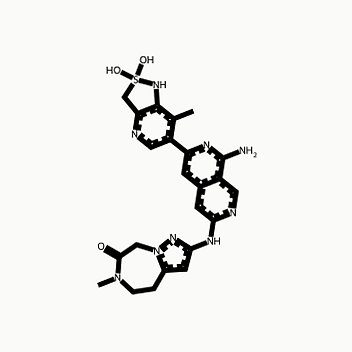 Cc1c(-c2cc3cc(Nc4cc5n(n4)CC(=O)N(C)CC5)ncc3c(N)n2)cnc2c1NS(O)(O)C2